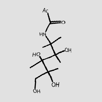 CC(=O)C(=O)NC(C)(C)C(C)(O)C(C)(O)C(C)(O)CO